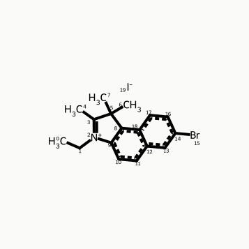 CC[N+]1=C(C)C(C)(C)c2c1ccc1cc(Br)ccc21.[I-]